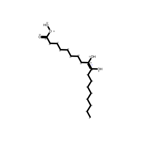 CCCCCCCC/C(O)=C(/O)CCCCCCCC(=O)OO